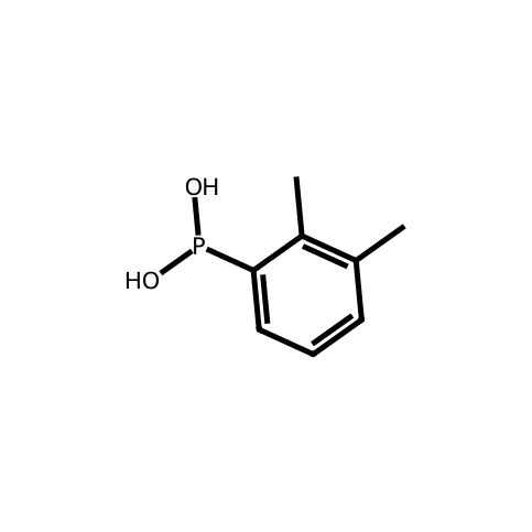 Cc1cccc(P(O)O)c1C